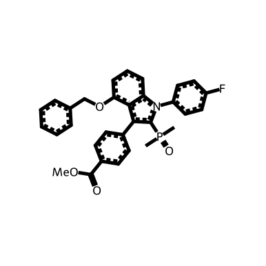 COC(=O)c1ccc(-c2c(P(C)(C)=O)n(-c3ccc(F)cc3)c3cccc(OCc4ccccc4)c23)cc1